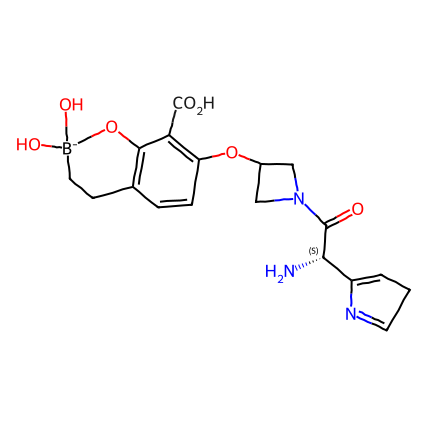 N[C@H](C(=O)N1CC(Oc2ccc3c(c2C(=O)O)O[B-](O)(O)CC3)C1)C1=CCC=N1